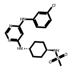 CS(=O)(=O)N[C@H]1CC[C@H](Nc2cc(Nc3cccc(Cl)c3)ncn2)CC1